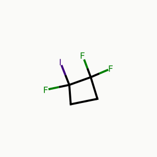 FC1(F)CCC1(F)I